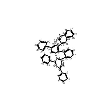 c1ccc(-c2nc(-c3ccccc3)nc(-c3ccccc3-c3ccc(-c4ccccc4)c4oc5nc6ccccc6cc5c34)n2)cc1